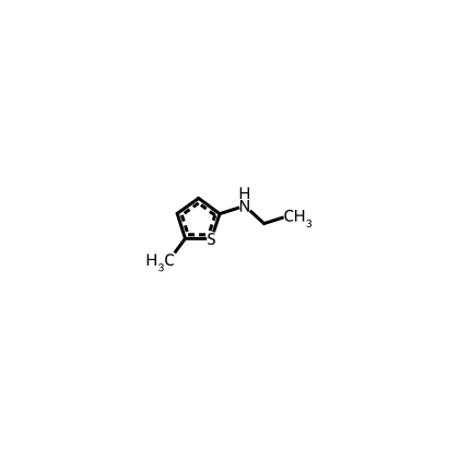 CCNc1ccc(C)s1